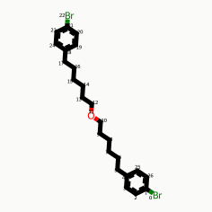 Brc1ccc(CCCCCCOCCCCCCc2ccc(Br)cc2)cc1